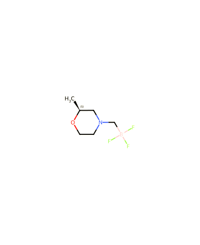 C[C@H]1CN(C[B-](F)(F)F)CCO1